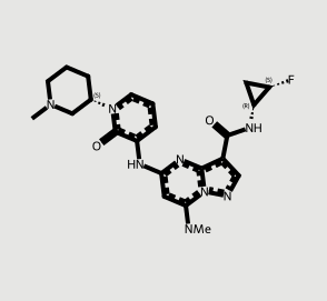 CNc1cc(Nc2cccn([C@H]3CCCN(C)C3)c2=O)nc2c(C(=O)N[C@@H]3C[C@@H]3F)cnn12